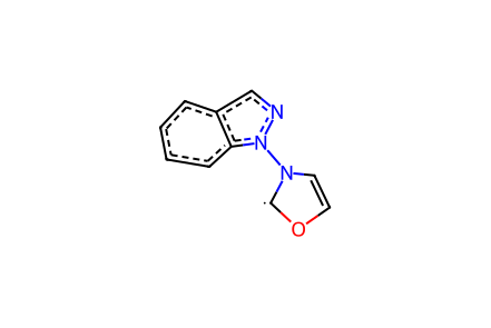 [CH]1OC=CN1n1ncc2ccccc21